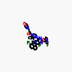 CCc1c(F)ccc2cccc(-c3ncc4c(N5CCN(C(=O)/C=C/CN6CCOCC6)[C@@H](CC#N)C5)nc(OC[C@@]56CCCN5C[C@H](F)C6)nc4c3F)c12